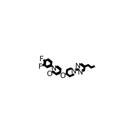 CCCc1cnc(N2CCC(Oc3ccn(-c4ccc(F)c(F)c4)c(=O)c3)CC2)nc1